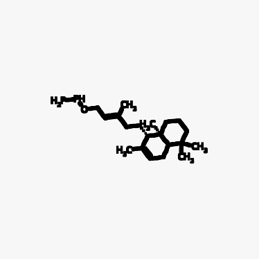 CC1=CCC2C(C)(C)CCC[C@]2(C)[C@H]1CC/C(C)=C/COPP